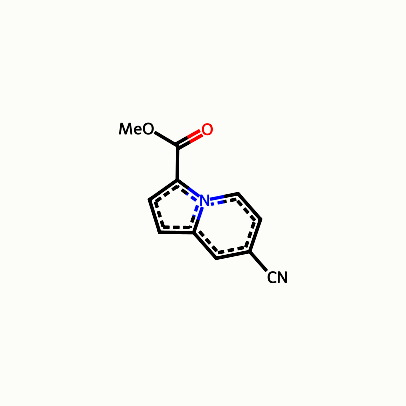 COC(=O)c1ccc2cc(C#N)ccn12